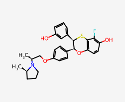 C[C@@H]1CCCN1[C@@H](C)COc1ccc([C@@H]2Oc3ccc(O)c(F)c3S[C@@H]2c2cccc(O)c2)cc1